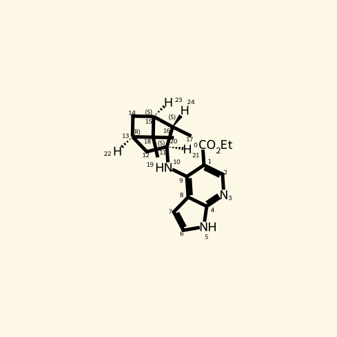 CCOC(=O)c1cnc2[nH]ccc2c1N[C@H]1C[C@H]2C[C@@H]([C@@H]1C)C2(C)C